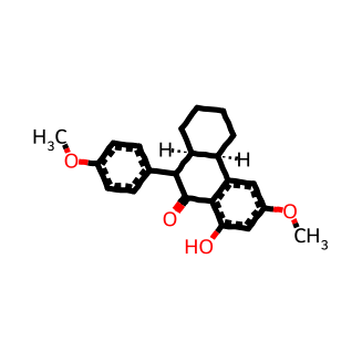 COc1ccc(C2C(=O)c3c(O)cc(OC)cc3[C@@H]3CCCC[C@H]23)cc1